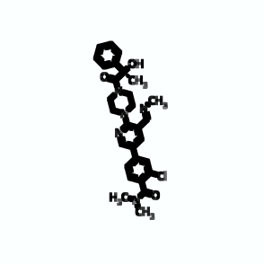 C/N=C/c1cc(-c2ccc(C(=O)N(C)C)c(Cl)c2)cnc1N1CCN(C(=O)[C@](C)(O)c2ccccc2)CC1